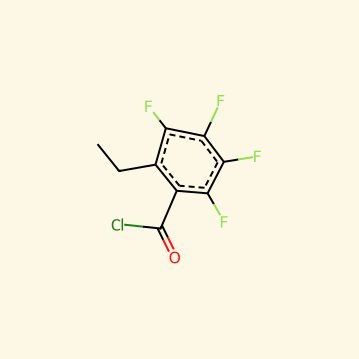 CCc1c(F)c(F)c(F)c(F)c1C(=O)Cl